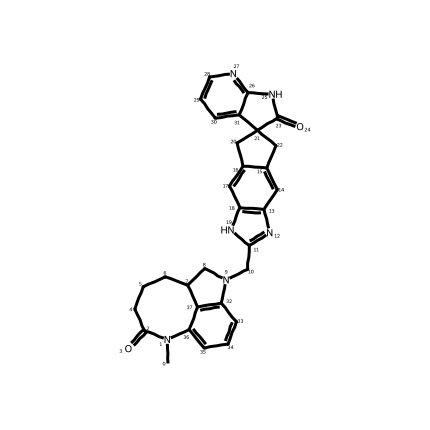 CN1C(=O)CCCC2CN(Cc3nc4cc5c(cc4[nH]3)CC3(C5)C(=O)Nc4ncccc43)c3cccc1c32